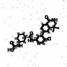 CC1(C)CNC(=O)c2ccc(-c3cc(NC(=O)[C@H]4CCC[C@@H](NC(=O)O)C4)ncc3Cl)cc21